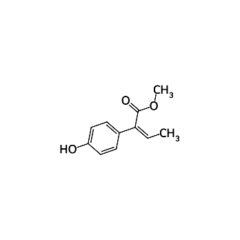 CC=C(C(=O)OC)c1ccc(O)cc1